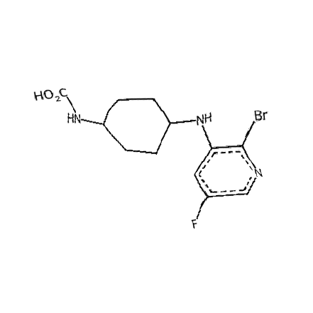 O=C(O)NC1CCC(Nc2cc(F)cnc2Br)CC1